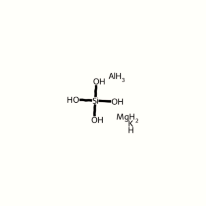 O[Si](O)(O)O.[AlH3].[KH].[MgH2]